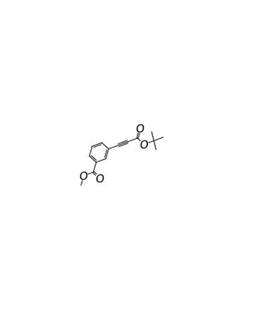 COC(=O)c1cccc(C#CC(=O)OC(C)(C)C)c1